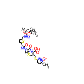 Cc1ccc(SCC2=C(C(=O)O)N3C(=O)[C@@H](NC(=O)Cc4ccc(CNC(=O)OC(C)(C)C)s4)[C@H]3SC2)n[n+]1[O-]